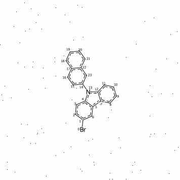 Brc1ccc2c(c1)c1ccccc1n2-c1ccc2ccccc2c1